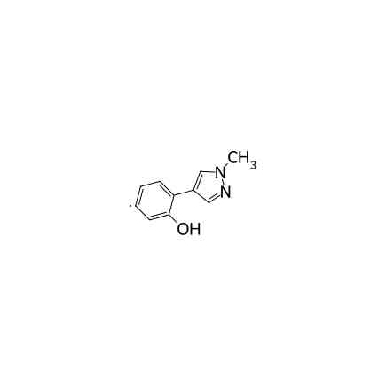 Cn1cc(-c2cc[c]cc2O)cn1